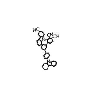 N#Cc1ccc2c(c1)c1ccccc1n2-c1c(-c2cccc(-c3ccc(-n4c5c(c6ccccc64)CCC=C5)cc3)c2)ccc(C#N)c1C#N